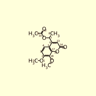 COc1ccc2c(C(C)OC(C)=O)cc(=O)oc2c1OC